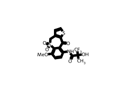 COc1ccc(NC(=O)C(C)(O)C(F)(F)F)c2c1S(=O)(=O)Cc1ccsc1C2=O